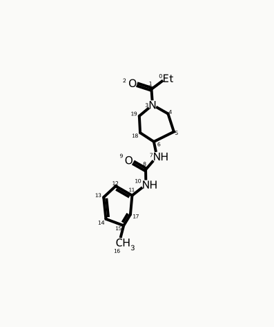 CCC(=O)N1CCC(NC(=O)Nc2cccc(C)c2)CC1